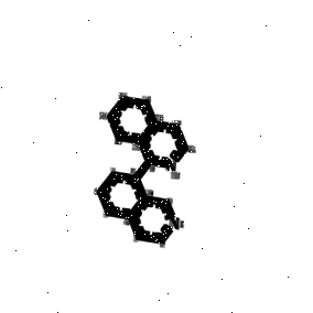 [c]1nccc2cccc(-c3nccc4ccccc34)c12